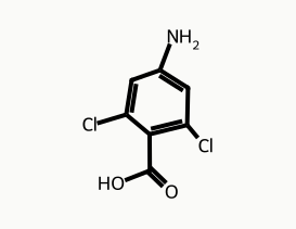 Nc1cc(Cl)c(C(=O)O)c(Cl)c1